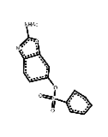 CC(=O)Nc1nc2ccc(OS(=O)(=O)c3ccccc3)cc2s1